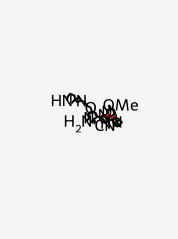 COc1ccc(CN2C3CC2CN(c2cnc(C4=CC(OCCN5CC6(CCCNC6)C5)=CN(N)/C4=C/C#N)cn2)C3)cn1